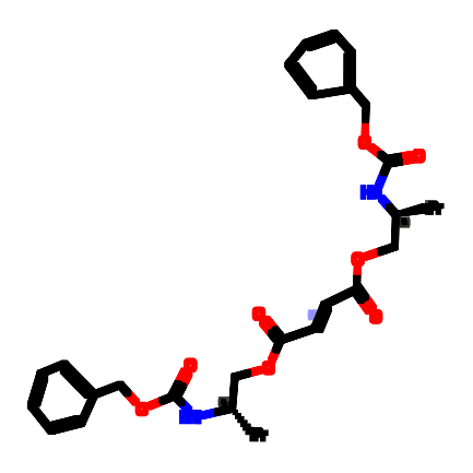 CC(C)[C@@H](COC(=O)/C=C/C(=O)OC[C@@H](NC(=O)OCc1ccccc1)C(C)C)NC(=O)OCc1ccccc1